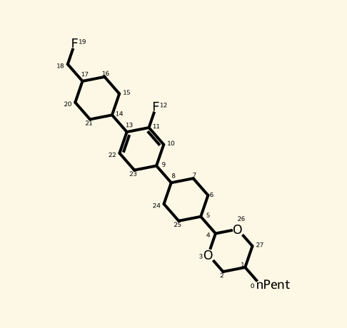 CCCCCC1COC(C2CCC(C3C=C(F)C(C4CCC(CF)CC4)=CC3)CC2)OC1